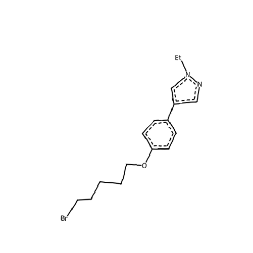 CCn1cc(-c2ccc(OCCCCCBr)cc2)cn1